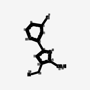 O=C(O)n1nc(-c2cc(Cl)ccn2)cc1CBr